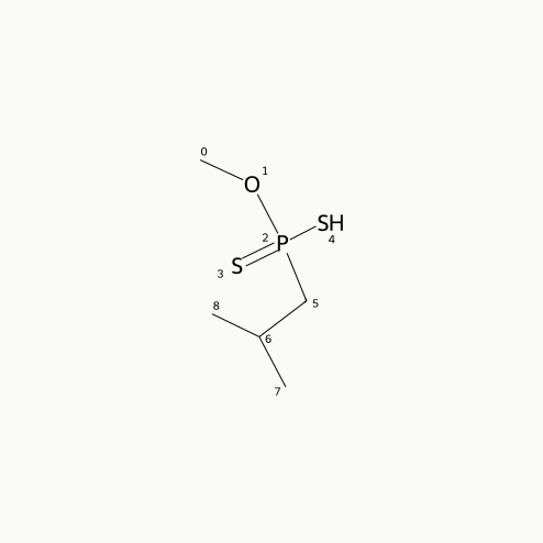 COP(=S)(S)CC(C)C